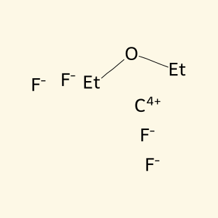 CCOCC.[C+4].[F-].[F-].[F-].[F-]